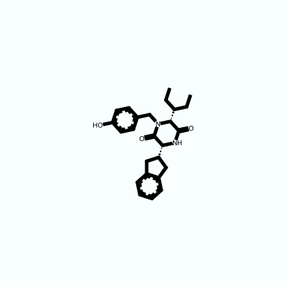 CCC(CC)[C@@H]1C(=O)N[C@H](C2Cc3ccccc3C2)C(=O)N1Cc1ccc(O)cc1